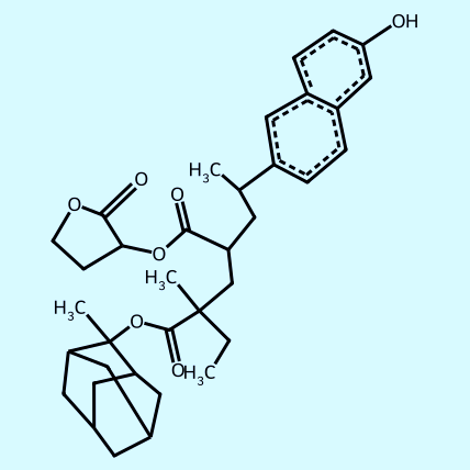 CCC(C)(CC(CC(C)c1ccc2cc(O)ccc2c1)C(=O)OC1CCOC1=O)C(=O)OC1(C)C2CC3CC(C2)CC1C3